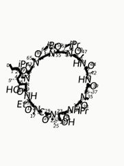 C/C=C/C[C@@H](C)[C@@H](O)[C@H]1C(=O)N[C@@H](CC)C(=O)N(C)CC(=O)N(C)[C@@H]([C@@H](C)O)C(=O)N[C@@H](C(C)C)C(=O)N(C)[C@@H](C)C(=O)N[C@@H](C)C(=O)N[C@H](C)C(=O)N(C)[C@@H](CC(C)C)C(=O)N(C)[C@@H](CC(C)C)C(=O)N(C)[C@@H](C(C)C)C(=O)N1C